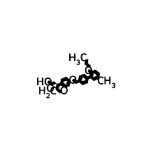 C=C1COc2cc(OCc3ccc(-c4cc(C)ccc4OCCCC)cc3)ccc2[C@H]1CC(=O)O